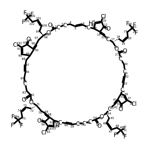 O=C1CCC/C=C\C[C@H]2C=C(Cl)C(=O)/C2=C/C[C@H](C/C=C\CC(F)(F)F)OC(=O)CCC/C=C\CC2C=C(Cl)C(=O)/C2=C/C[C@@H](C/C=C\CC(F)(F)F)OC(=O)CCC/C=C\C[C@H]2C=C(Cl)C(=O)/C2=C/C[C@H](C/C=C\CC(F)(F)F)OC(=O)CCC/C=C\CC2C=C(Cl)C(=O)/C2=C/C[C@@H](C/C=C\CC(F)(F)F)O1